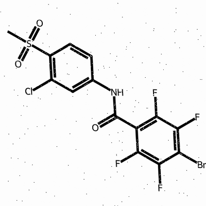 CS(=O)(=O)c1ccc(NC(=O)c2c(F)c(F)c(Br)c(F)c2F)cc1Cl